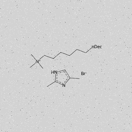 CCCCCCCCCCCCCCCC[N+](C)(C)C.Cc1c[nH]c(C)n1.[Br-]